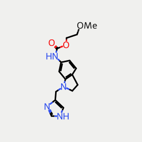 COCCOC(=O)Nc1ccc2c(c1)N(Cc1c[nH]cn1)CC2